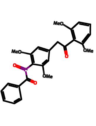 COc1cccc(OC)c1C(=O)Cc1cc(OC)c([P](=O)C(=O)c2ccccc2)c(OC)c1